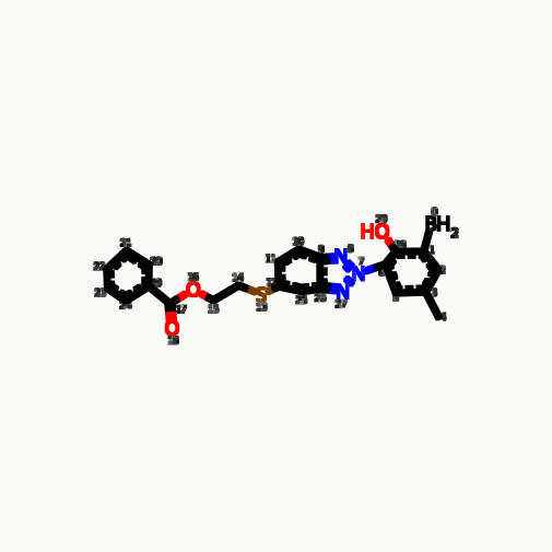 Bc1cc(C)cc(-n2nc3ccc(SCCOC(=O)c4ccccc4)cc3n2)c1O